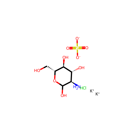 Cl.N[C@H]1C(O)O[C@H](CO)[C@@H](O)[C@@H]1O.O=S(=O)([O-])[O-].[K+].[K+]